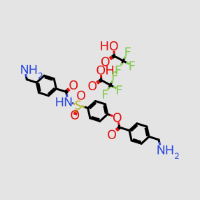 NCc1ccc(C(=O)NS(=O)(=O)c2ccc(OC(=O)c3ccc(CN)cc3)cc2)cc1.O=C(O)C(F)(F)F.O=C(O)C(F)(F)F